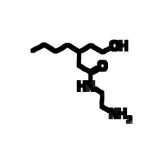 CCCCC(CCO)CC(=O)NCCN